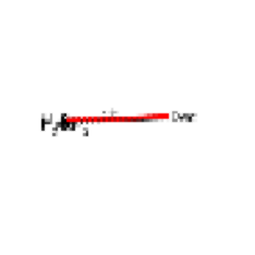 CCCCCCCCCCCCCCCCCCCCCCCCCCCCCCCCCCCCCCCCCCCCCC[N+](C)(C)C.[Cl-]